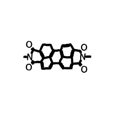 CN1C(=O)C2=c3c(ccc4c3c(c3ccc5c6c(ccc4c36)C(=O)N(C)C5=O)CC2)C1=O